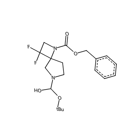 CC(C)(C)OC(O)N1CCC2(C1)N(C(=O)OCc1ccccc1)CC2(F)F